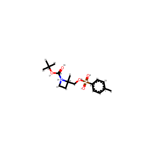 Cc1ccc(S(=O)(=O)OCC2(C)CCN2C(=O)OC(C)(C)C)cc1